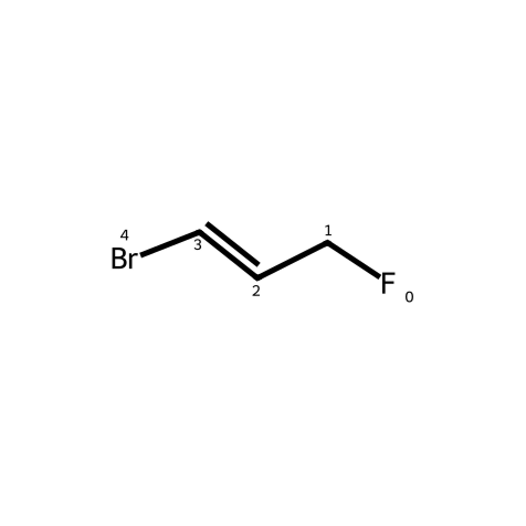 FC/C=C/Br